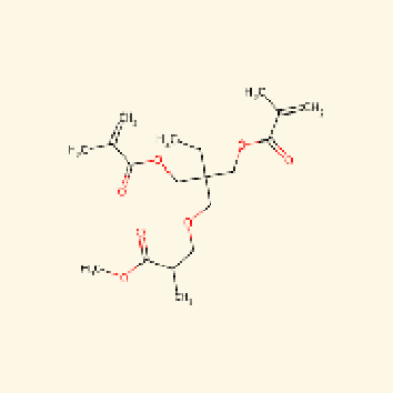 C=C(C)C(=O)OCC(CC)(COCC(C)C(=O)OC)COC(=O)C(=C)C